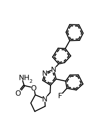 NC(=O)OC1CCCN1Cc1cnn(-c2ccc(-c3ccccc3)cc2)c1-c1ccccc1F